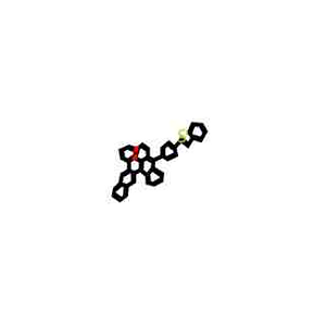 c1ccc(-c2cc3ccccc3cc2-c2c3ccccc3c(-c3ccc(-c4cc5ccccc5s4)cc3)c3ccccc23)cc1